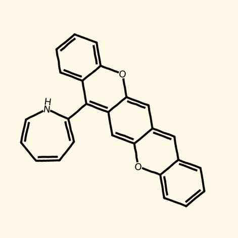 C1=CC=C(C2=c3cc4c(cc3Oc3ccccc32)=Cc2ccccc2O4)NC=C1